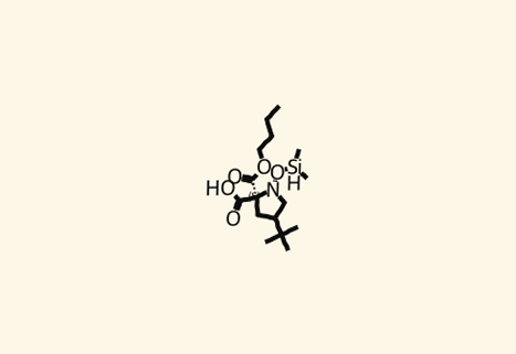 CCCCOC(=O)[C@@]1(C(=O)O)CC(C(C)(C)C)CN1O[SiH](C)C